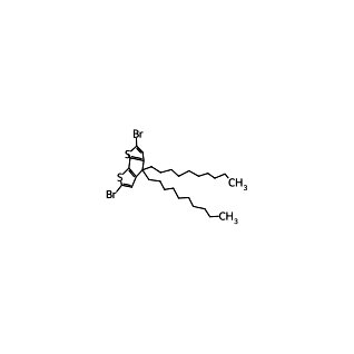 CCCCCCCCCCC1(CCCCCCCCCC)c2cc(Br)sc2-c2sc(Br)cc21